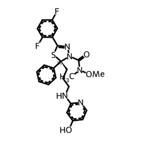 CON(C)C(=O)N1N=C(c2cc(F)ccc2F)S[C@@]1(CCCNc1cc(O)ccn1)c1ccccc1